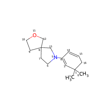 CC1(C)C=C(N2CCC3(CCOC3)C2)C=CC1